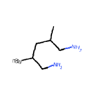 CCCCC(CN)CC(C)CN